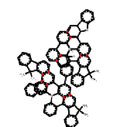 CC1(C)c2ccccc2-c2c(-c3ccccc3N(c3cccc(-c4cccc5c4C(C)(C)c4ccccc4-5)c3)c3cccc(-c4ccc5c(c4)-c4cccc(-c6ccccc6N(c6ccccc6C6=CC=CC7c8ccccc8SC67)c6ccccc6-c6cccc7c6-c6ccccc6C7(C)C)c4C5(C)C)c3-c3cccc4c3sc3ccccc34)cccc21